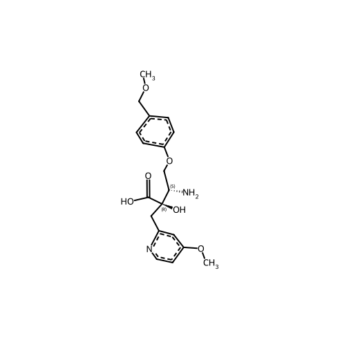 COCc1ccc(OC[C@H](N)[C@](O)(Cc2cc(OC)ccn2)C(=O)O)cc1